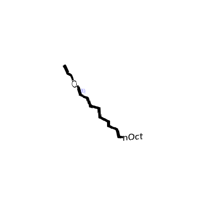 C=CCO/C=C/CCCCCCCCCCCCCCCC